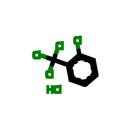 Cl.Clc1ccccc1C(Cl)(Cl)Cl